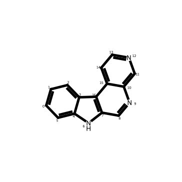 c1ccc2c(c1)[nH]c1cnc3cnccc3c12